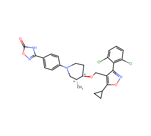 C[C@@H]1CN(c2ccc(-c3noc(=O)[nH]3)cc2)CC[C@H]1OCc1c(-c2c(Cl)cccc2Cl)noc1C1CC1